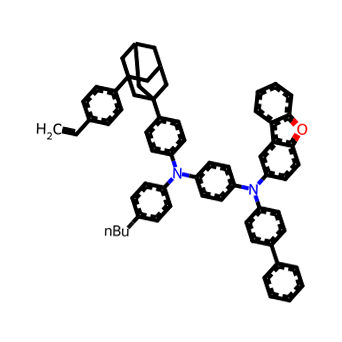 C=Cc1ccc(C23CC4CC(C2)CC(c2ccc(N(c5ccc(CCCC)cc5)c5ccc(N(c6ccc(-c7ccccc7)cc6)c6ccc7oc8ccccc8c7c6)cc5)cc2)(C4)C3)cc1